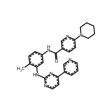 Cc1ccc(NC(=O)c2ccc(N3CCCCC3)nc2)cc1Nc1nccc(-c2cccnc2)n1